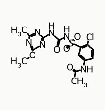 COc1nc(C)nc(NC(=O)NS(=O)(=O)c2cc(NC(C)=O)ccc2Cl)n1